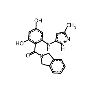 Cc1cc(Nc2cc(O)cc(O)c2C(=O)N2Cc3ccccc3C2)[nH]n1